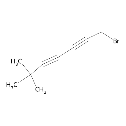 CC(C)(C)C#CC#CCBr